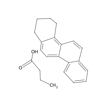 CCCC(=O)O.c1ccc2c(c1)ccc1c3c(ccc12)CCCC3